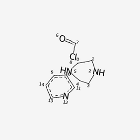 C1CNCCN1.O=CCl.c1ccncc1